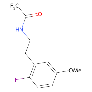 COc1ccc(I)c(CCNC(=O)C(F)(F)F)c1